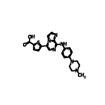 CN1CCN(c2ccc(Nc3ncc(-c4ccc(C(=O)O)s4)n4ccnc34)cc2)CC1